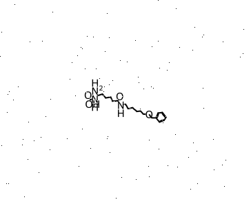 NC(CCCCC(=O)NCCCCCCOCc1ccccc1)NC(=O)O